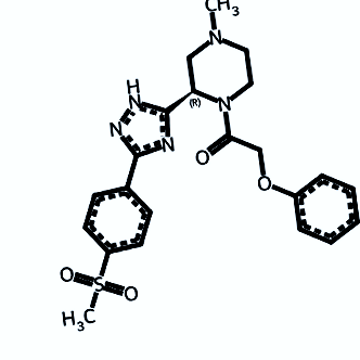 CN1CCN(C(=O)COc2ccccc2)[C@@H](c2nc(-c3ccc(S(C)(=O)=O)cc3)n[nH]2)C1